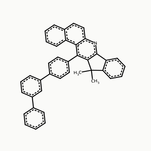 CC1(C)c2ccccc2-c2nc3ccc4ccccc4c3c(-c3ccc(-c4cccc(-c5ccccc5)c4)cc3)c21